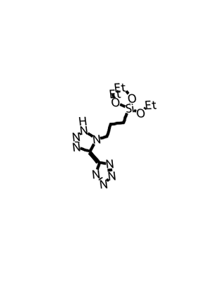 CCO[Si](CCCN1NN=NC1=C1N=NN=N1)(OCC)OCC